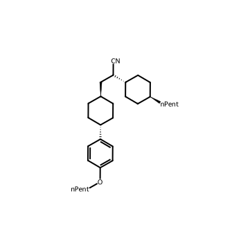 CCCCCOc1ccc([C@H]2CC[C@H](CC(C#N)[C@H]3CC[C@H](CCCCC)CC3)CC2)cc1